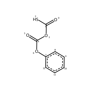 O=C(S)OC(=O)Oc1ccccc1